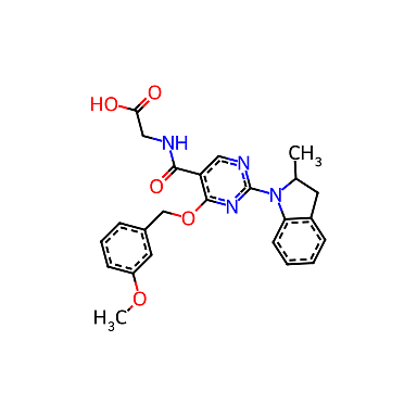 COc1cccc(COc2nc(N3c4ccccc4CC3C)ncc2C(=O)NCC(=O)O)c1